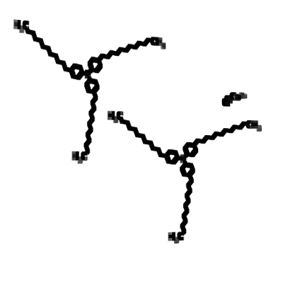 CCCCCCCCCCCCc1ccc(P(c2ccc(CCCCCCCCCCCC)cc2)c2ccc(CCCCCCCCCCCC)cc2)cc1.CCCCCCCCCCCCc1ccc(P(c2ccc(CCCCCCCCCCCC)cc2)c2ccc(CCCCCCCCCCCC)cc2)cc1.[Cl-].[Cl-].[Co+2]